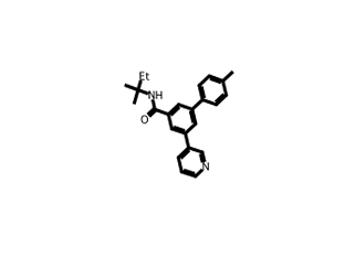 CCC(C)(C)NC(=O)c1cc(-c2ccc(C)cc2)cc(-c2cccnc2)c1